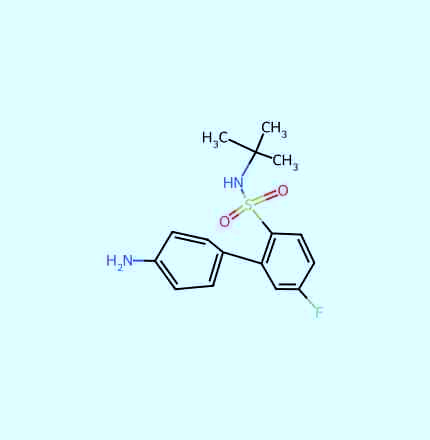 CC(C)(C)NS(=O)(=O)c1ccc(F)cc1-c1ccc(N)cc1